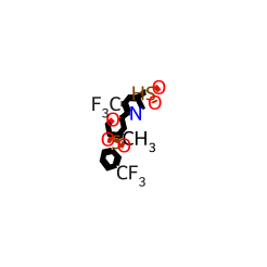 CC1(S(=O)(=O)c2cccc(C(F)(F)F)c2)CCOC(c2ncc(C[SH](=O)=O)cc2C(F)(F)F)C1